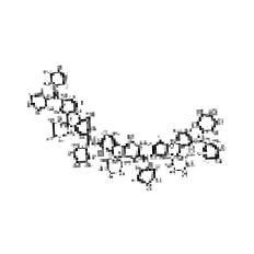 c1ccc(N(c2ccccc2)c2ccc3c(c2)C2(CCCCC2)c2cc(N(c4ccccc4)c4ccc5c(c4)C4(CCCCC4)c4cc(N(c6ccccc6)c6ccc7c(c6)C6(CCCCC6)c6cc(N(c8ccccc8)c8ccccc8)ccc6-7)ccc4-5)ccc2-3)cc1